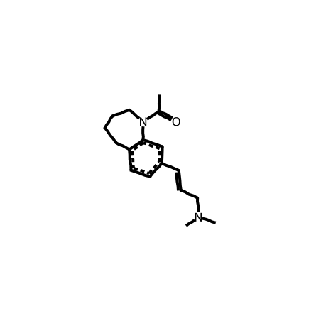 CC(=O)N1CCCCc2ccc(C=CCN(C)C)cc21